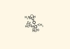 CCc1cc(C(=O)O)c(=O)[nH]c1-c1ccc(N2C[C@H]3CCC[C@H](N)[C@H]3C2)cc1.O=C(O)C(F)(F)F